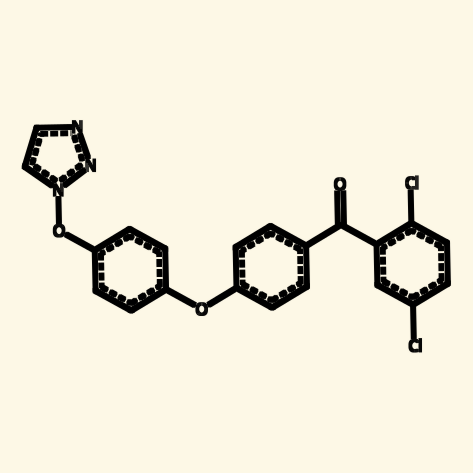 O=C(c1ccc(Oc2ccc(On3ccnn3)cc2)cc1)c1cc(Cl)ccc1Cl